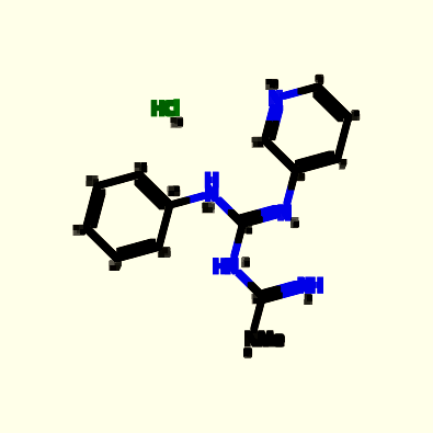 CNC(=N)NC(=Nc1cccnc1)Nc1ccccc1.Cl